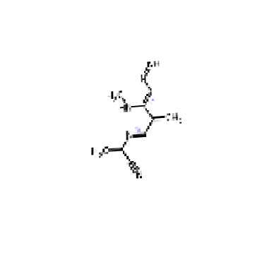 C=C(C#N)/N=C/C(=C)/C(=C/N=N)NC